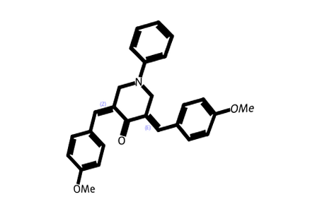 COc1ccc(/C=C2/CN(c3ccccc3)C/C(=C\c3ccc(OC)cc3)C2=O)cc1